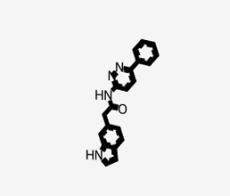 O=C(Cc1ccc2cc[nH]c2c1)Nc1ccc(-c2ccccc2)nn1